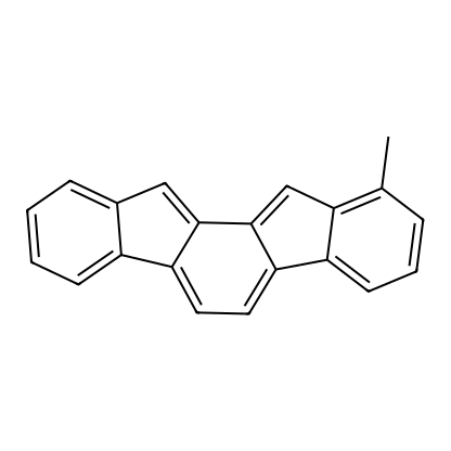 Cc1cccc2c1C=c1c-2ccc2c1=Cc1ccccc1-2